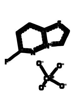 Fc1ccc2scc[n+]2n1.[O-][Cl+3]([O-])([O-])[O-]